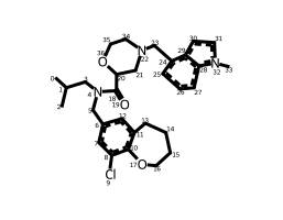 CC(C)CN(Cc1cc(Cl)c2c(c1)CCCCO2)C(=O)C1CN(Cc2cccc3c2ccn3C)CCO1